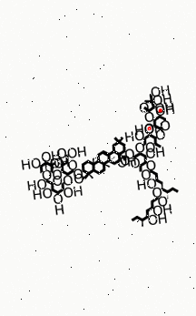 CC[C@H](C)[C@H](C[C@H](O)CC(=O)O[C@@H]1C(C)O[C@@H](OC(=O)[C@]23CCC(C)(C)CC2C2=CCC4[C@@]5(C)CCC(O[C@@H]6OC(C(=O)O)[C@@H](O)C(O[C@@H]7OC[C@@H](O)C(O)C7O)C6O[C@@H]6OC(CO)[C@H](O)C(O)C6O)[C@@](C)(C=O)C5CC[C@@]4(C)[C@]2(C)C[C@H]3O)C(O[C@@H]2OC(C)[C@H](O[C@H]3OCC(O)[C@H](O[C@@H]4OCC(O)(CO)C4O)C3O)C(O)C2O)C1O)OC(=O)C[C@@H](O)C[C@H](O)[C@@H](C)CC